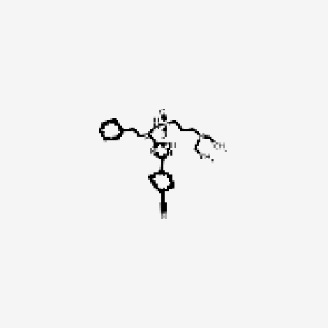 CCN(CC)CCCS(=O)(=O)N[C@H](CCc1ccccc1)c1nc(-c2ccc(C#N)cc2)n[nH]1